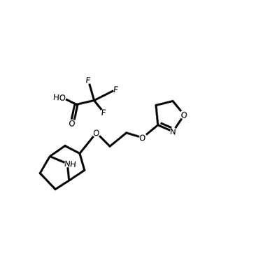 C1CC(OCCOC2CC3CCC(C2)N3)=NO1.O=C(O)C(F)(F)F